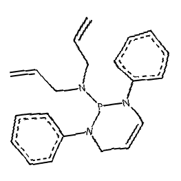 C=CCN(CC=C)P1N(c2ccccc2)C=CCN1c1ccccc1